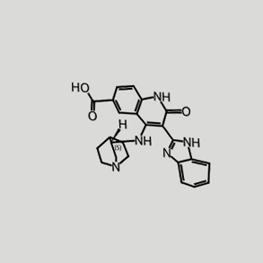 O=C(O)c1ccc2[nH]c(=O)c(-c3nc4ccccc4[nH]3)c(N[C@@H]3CN4CCC3CC4)c2c1